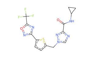 O=C(NC1CC1)c1ncn(Cc2ccc(-c3noc(C(F)(F)F)n3)s2)n1